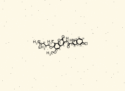 COc1cc2cc(NC(=O)c3cc4cc(Cl)ccc4[nH]3)c(=O)oc2c(C)c1OCCCN(C)C